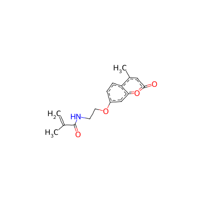 C=C(C)C(=O)NCCOc1ccc2c(C)cc(=O)oc2c1